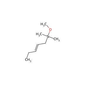 CCC=CC[Si](C)(C)OC